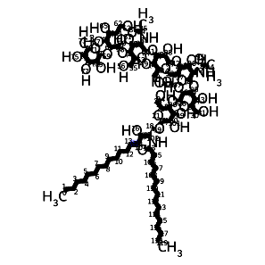 CCCCCCCCCCCCC/C=C/[C@@H](O)[C@H](CO[C@@H]1OC(CO)[C@@H](O[C@@H]2OC(CO)[C@H](O)[C@H](O[C@@H]3OC(CO)[C@@H](O[C@@H]4OC(CO)[C@H](O)[C@H](O[C@@H]5OC(CO)[C@@H](O[C@@H]6OC(CO)[C@H](O)[C@H](O)C6O[C@H]6OC(C)[C@@H](O)C(O)[C@@H]6O)[C@H](O)C5NC(C)=O)C4O)[C@H](O)C3NC(C)=O)C2O)[C@H](O)C1O)NC(=O)CCCCCCCCCCCCCCC